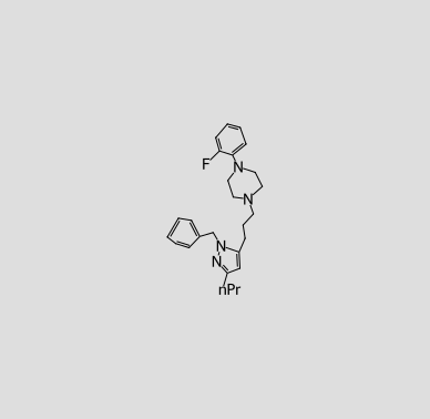 CCCc1cc(CCCN2CCN(c3ccccc3F)CC2)n(Cc2ccccc2)n1